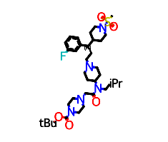 CC(C)CN(C(=O)CN1CCN(C(=O)OC(C)(C)C)CC1)C1CCN(CC[C@@H](c2cccc(F)c2)C2CCN(S(C)(=O)=O)CC2)CC1